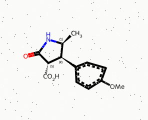 COc1ccc([C@H]2[C@H](C(=O)O)C(=O)N[C@H]2C)cc1